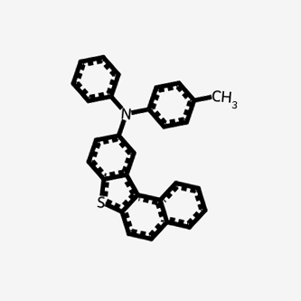 Cc1ccc(N(c2ccccc2)c2ccc3sc4ccc5ccccc5c4c3c2)cc1